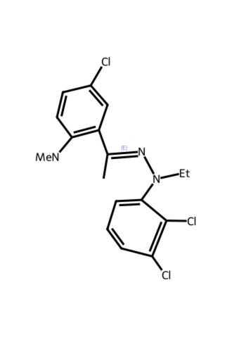 CCN(/N=C(\C)c1cc(Cl)ccc1NC)c1cccc(Cl)c1Cl